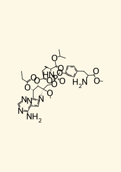 CCC(=O)O[C@@H](c1ccc2c(N)ncnn12)[C@H](OC(=O)CC)[C@@](C#N)(COP(=O)(N[C@@H](C)C(=O)OC(C)C)Oc1ccc(C[C@H](N)C(=O)OC)cc1)OC